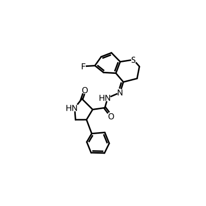 O=C1NCC(c2ccccc2)C1C(=O)N/N=C1/CCSc2ccc(F)cc21